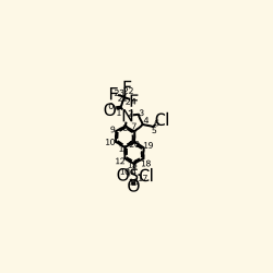 O=C(N1CC(CCl)c2c1ccc1cc(S(=O)(=O)Cl)ccc21)C(F)(F)F